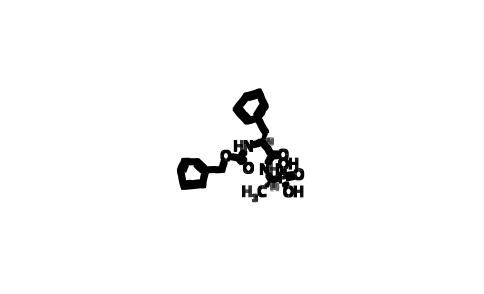 C[C@H](NC(=O)[C@H](Cc1ccccc1)NC(=O)OCc1ccccc1)P(=O)(O)O